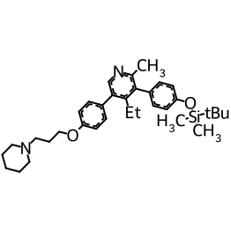 CCc1c(-c2ccc(OCCCN3CCCCC3)cc2)cnc(C)c1-c1ccc(O[Si](C)(C)C(C)(C)C)cc1